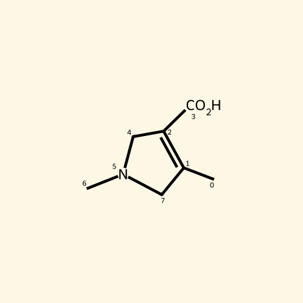 CC1=C(C(=O)O)CN(C)C1